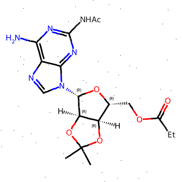 CCC(=O)OC[C@H]1O[C@@H](n2cnc3c(N)nc(NC(C)=O)nc32)[C@@H]2OC(C)(C)O[C@@H]21